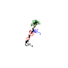 C=CCOCCOC(=O)C(N)CSC(F)(F)C(F)(F)F